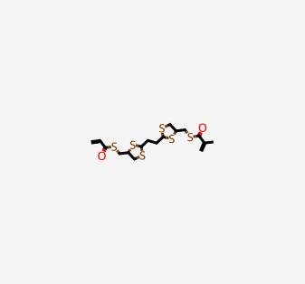 C=CC(=O)SCC1CSC(CCC2SCC(CSC(=O)C(=C)C)S2)S1